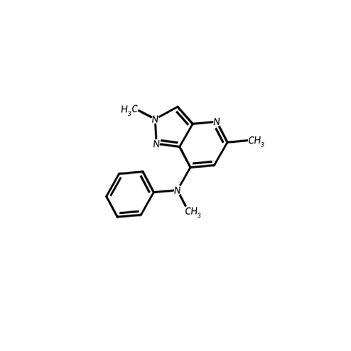 Cc1cc(N(C)c2ccccc2)c2nn(C)cc2n1